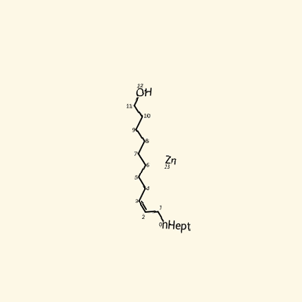 CCCCCCCC/C=C\CCCCCCCCO.[Zn]